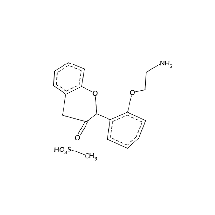 CS(=O)(=O)O.NCCOc1ccccc1C1Oc2ccccc2CC1=O